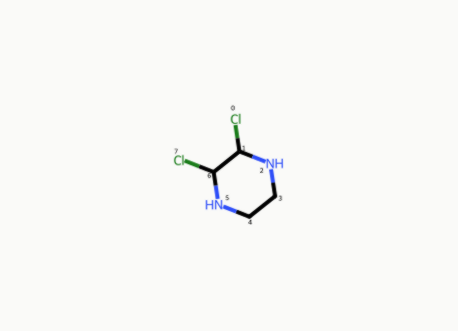 ClC1NCCNC1Cl